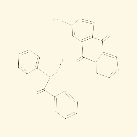 CC(C)OC(C(=O)c1ccccc1)c1ccccc1.Cc1ccc2c(c1)C(=O)c1ccccc1C2=O